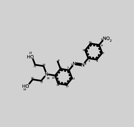 Cc1c(N=Nc2ccc([N+](=O)[O-])cc2)cccc1N(CCO)CCO